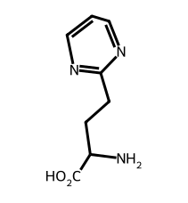 NC(CCc1ncccn1)C(=O)O